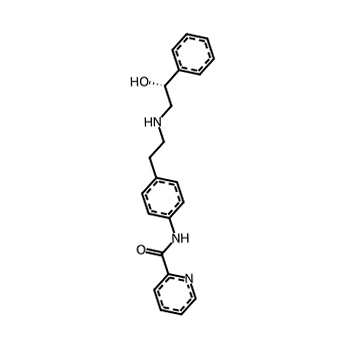 O=C(Nc1ccc(CCNC[C@H](O)c2ccccc2)cc1)c1ccccn1